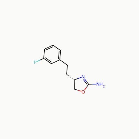 NC1=N[C@@H](CCc2cccc(F)c2)CO1